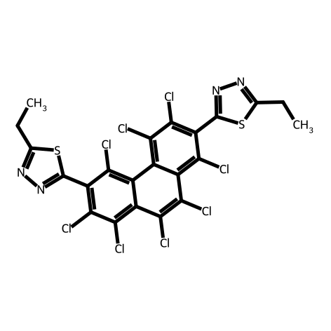 CCc1nnc(-c2c(Cl)c(Cl)c3c(c2Cl)c(Cl)c(Cl)c2c(Cl)c(Cl)c(-c4nnc(CC)s4)c(Cl)c23)s1